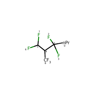 CCCC(F)(F)C(C(F)F)C(F)(F)F